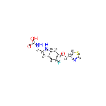 O=C(O)NCc1cc2cc(F)c(OCc3cscn3)cc2[nH]1